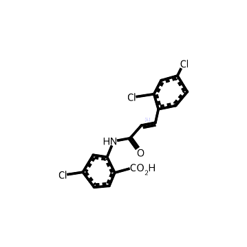 O=C(/C=C/c1ccc(Cl)cc1Cl)Nc1cc(Cl)ccc1C(=O)O